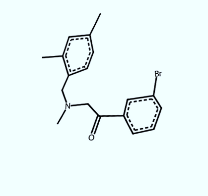 Cc1ccc(CN(C)CC(=O)c2cccc(Br)c2)c(C)c1